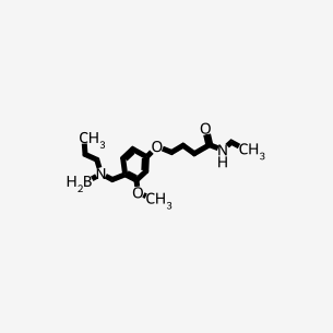 BN(CCC)Cc1ccc(OCCCC(=O)NCC)cc1OC